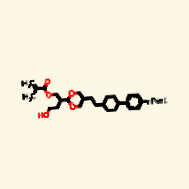 C=C(C)C(=O)OCC(CCO)C1OCC(CCC2CCC(c3ccc(CCCCC)cc3)CC2)CO1